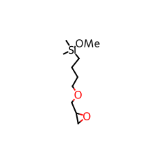 CO[Si](C)(C)CCCCOCC1CO1